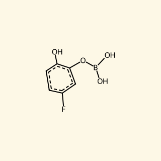 OB(O)Oc1cc(F)ccc1O